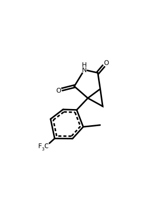 Cc1cc(C(F)(F)F)ccc1C12CC1C(=O)NC2=O